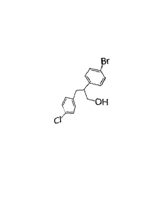 OCC(Cc1ccc(Cl)cc1)c1ccc(Br)cc1